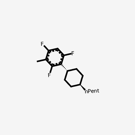 CCCCC[C@H]1CC[C@H](c2c(F)cc(F)c(C)c2F)CC1